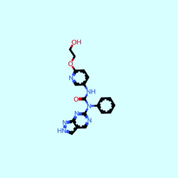 O=C(Nc1ccc(OCCO)nc1)N(c1ccccc1)c1ncc2c[nH]nc2n1